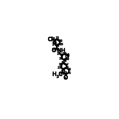 CN1C(=O)CCc2cc(-c3cncc(CNC(=O)c4cccc(Cl)n4)c3)ccc21